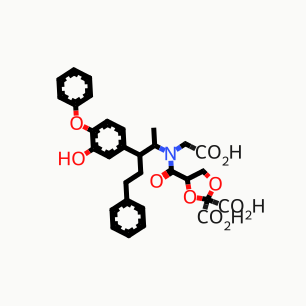 CC(C(CCc1ccccc1)c1ccc(Oc2ccccc2)c(O)c1)N(CC(=O)O)C(=O)C1COC(C(=O)O)(C(=O)O)O1